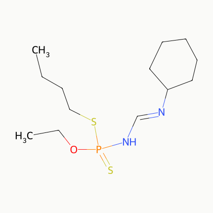 CCCCSP(=S)(N/C=N/C1CCCCC1)OCC